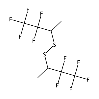 CC(SSC(C)C(F)(F)C(F)(F)F)C(F)(F)C(F)(F)F